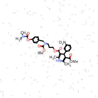 COC(=O)C1=C(C)NC(C)=C(C(=O)OCCCN(Cc2ccc(OC(=O)N(C)C)cc2)C(=O)OC(C)(C)C)C1c1cccc([N+](=O)[O-])c1